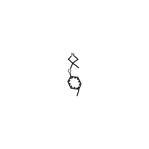 Cc1ccc(OC2(C)C[N]C2)cc1